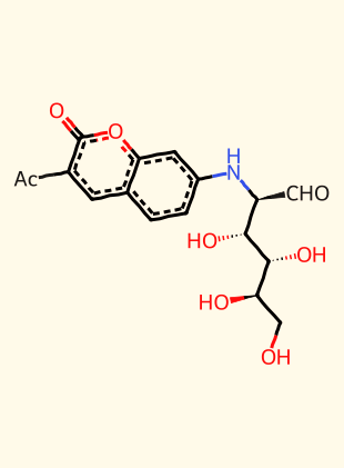 CC(=O)c1cc2ccc(N[C@@H](C=O)[C@@H](O)[C@H](O)[C@H](O)CO)cc2oc1=O